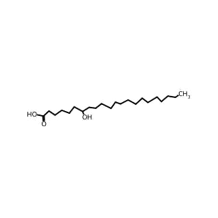 CCCCCCCCCCCCCCCC(O)CCCCCC(=O)O